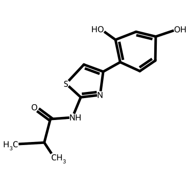 CC(C)C(=O)Nc1nc(-c2ccc(O)cc2O)cs1